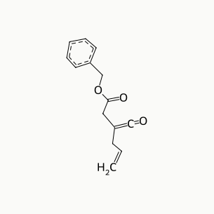 C=CCC(=C=O)CC(=O)OCc1ccccc1